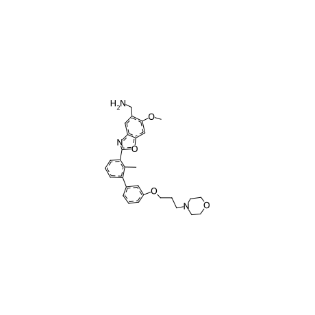 COc1cc2oc(-c3cccc(-c4cccc(OCCCN5CCOCC5)c4)c3C)nc2cc1CN